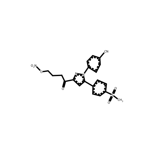 CS(=O)(=O)c1ccc(-c2cc(C(=O)CCCO[N+](=O)[O-])nn2-c2ccc(C#N)cc2)cc1